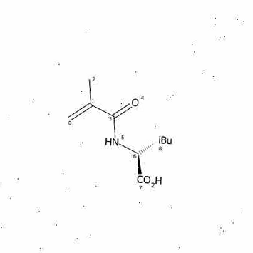 C=C(C)C(=O)N[C@H](C(=O)O)[C@@H](C)CC